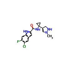 CN1C=C(C2(NC(=O)c3cc4cc(Cl)c(F)cc4[nH]3)CC2)CN1